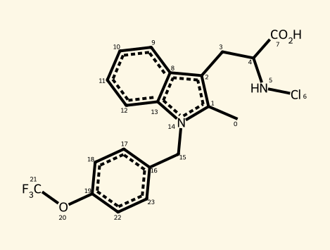 Cc1c(CC(NCl)C(=O)O)c2ccccc2n1Cc1ccc(OC(F)(F)F)cc1